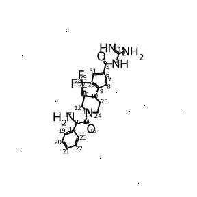 N=C(N)NC(=O)c1ccc(C2CCN(C(=O)C(N)c3ccccc3)CC2)c(C(F)(F)F)c1